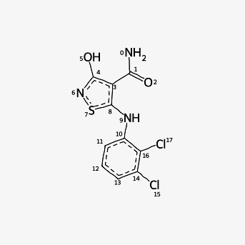 NC(=O)c1c(O)nsc1Nc1cccc(Cl)c1Cl